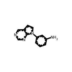 Nc1cccc(-n2ccc3cncnc32)c1